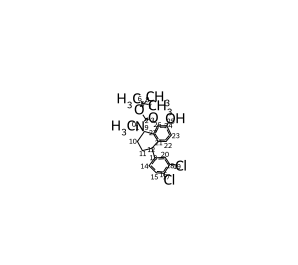 CN(C(=O)OC(C)(C)C)C1CCC(c2ccc(Cl)c(Cl)c2)c2ccc(O)cc21